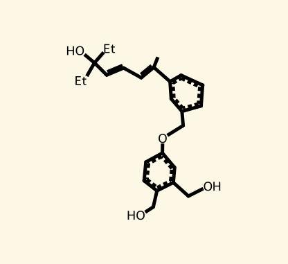 CCC(O)(C=CC=C(C)c1cccc(COc2ccc(CO)c(CO)c2)c1)CC